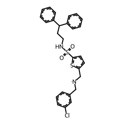 O=S(=O)(NCCC(c1ccccc1)c1ccccc1)c1ccc(C[N]Cc2cccc(Cl)c2)s1